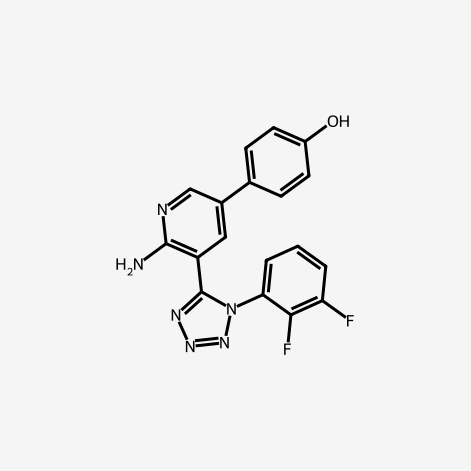 Nc1ncc(-c2ccc(O)cc2)cc1-c1nnnn1-c1cccc(F)c1F